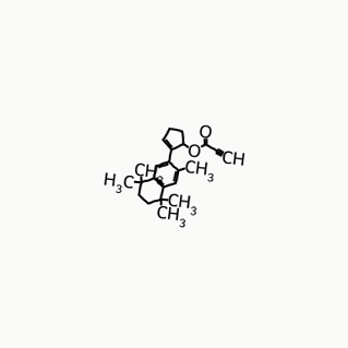 C#CC(=O)OC1CCC=C1c1cc2c(cc1C)C(C)(C)CCC2(C)C